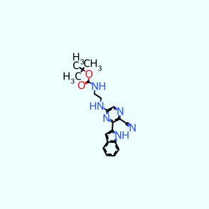 CC(C)(C)OC(=O)NCCNc1cnc(C#N)c(-c2cc3ccccc3[nH]2)n1